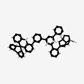 c1ccc(-c2cc(-c3cccc(-c4cccc5c4Oc4ccccc4C54c5ccccc5-c5ccccc54)c3)nc(-c3ccccc3C34CC5[C@H](CC[C@H]5C3)C4)n2)cc1